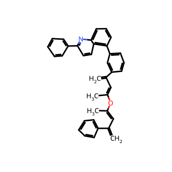 C=C(/C=C(\C)O/C(C)=C/C(=C)c1cccc(-c2cccc3nc(-c4ccccc4)ccc23)c1)c1ccccc1